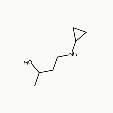 CC(O)CCNC1CC1